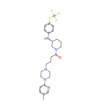 Cc1ccc(N2CCN(CCCC(=O)N3CCC[C@H](Nc4ccc(SC(F)(F)F)cc4)C3)CC2)nc1